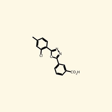 Cc1ccc(-c2nnc(-c3cccc(C(=O)O)c3)o2)c(Cl)c1